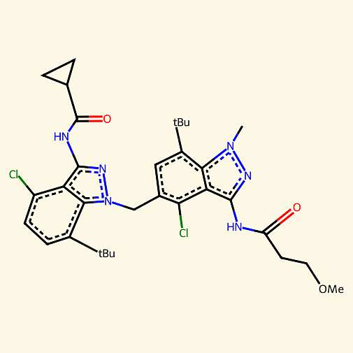 COCCC(=O)Nc1nn(C)c2c(C(C)(C)C)cc(Cn3nc(NC(=O)C4CC4)c4c(Cl)ccc(C(C)(C)C)c43)c(Cl)c12